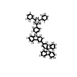 c1ccc(-c2nc(-c3ccccc3)nc(-c3ccc(-n4c5ccccc5c5cc(-c6ccc(S(c7ccccc7)(c7ccccc7)c7ccccc7)cc6)ccc54)cc3)n2)cc1